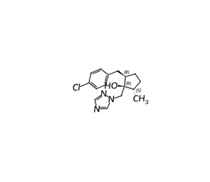 C[C@H]1CC[C@H](Cc2ccc(Cl)cc2)[C@@]1(O)Cn1cncn1